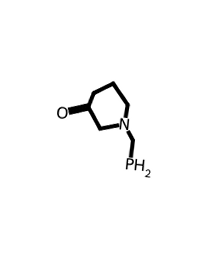 O=C1CCCN(CP)C1